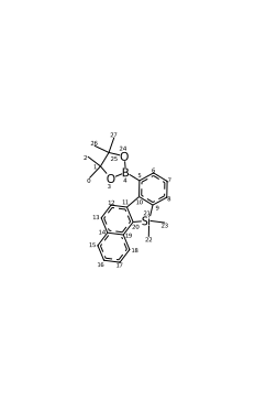 CC1(C)OB(c2cccc3c2-c2ccc4ccccc4c2[Si]3(C)C)OC1(C)C